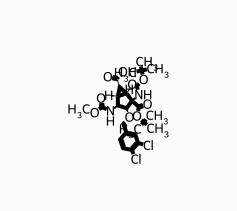 COC(=O)N[C@H]1[C@H]2[C@H](C(=O)O)[C@H]2[C@](NC(=O)OC(C)(C)C)(C(=O)OC(C)(C)C)[C@@H]1OCc1ccc(Cl)c(Cl)c1